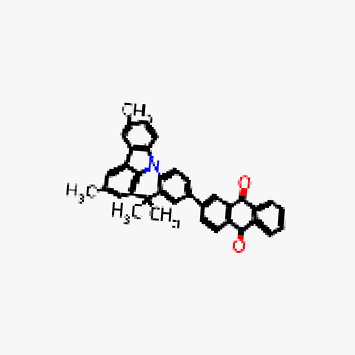 Cc1ccc2c(c1)c1cc(C)cc3c1n2-c1ccc(-c2ccc4c(c2)C(=O)c2ccccc2C4=O)cc1C3(C)C